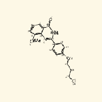 COc1cccc2c(=O)[nH]c(-c3ccc(OCCCCl)cc3)nc12